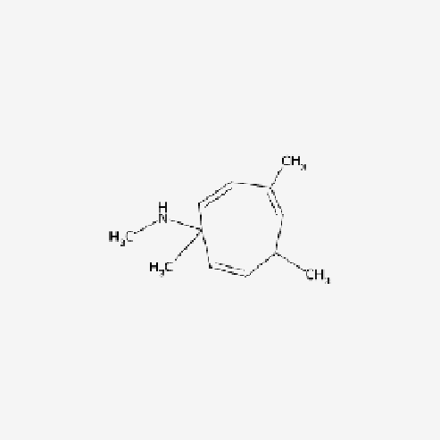 CNC1(C)/C=C\C(C)=C/C(C)/C=C\1